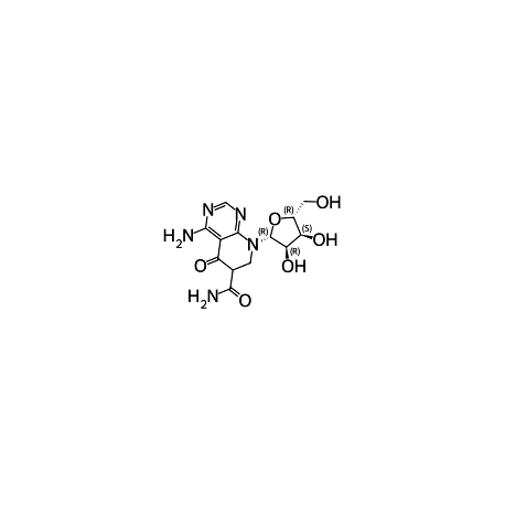 NC(=O)C1CN([C@@H]2O[C@H](CO)[C@@H](O)[C@H]2O)c2ncnc(N)c2C1=O